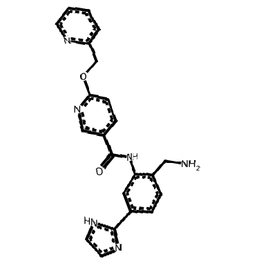 NCc1ccc(-c2ncc[nH]2)cc1NC(=O)c1ccc(OCc2ccccn2)nc1